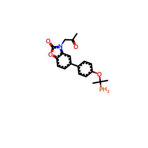 CC(=O)Cn1c(=O)oc2ccc(-c3ccc(OC(C)(C)P)cc3)cc21